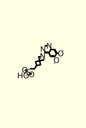 COc1cc2ncnc(N3CC4(CC(CCS(=O)(=O)O)C4)C3)c2cc1OC